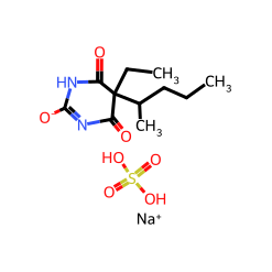 CCCC(C)C1(CC)C(=O)N=C([O-])NC1=O.O=S(=O)(O)O.[Na+]